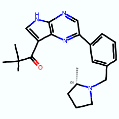 C[C@H]1CCCN1Cc1cccc(-c2cnc3[nH]cc(C(=O)C(C)(C)C)c3n2)c1